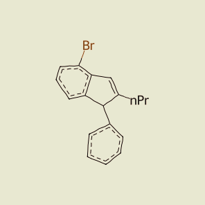 CCCC1=Cc2c(Br)cccc2C1c1ccccc1